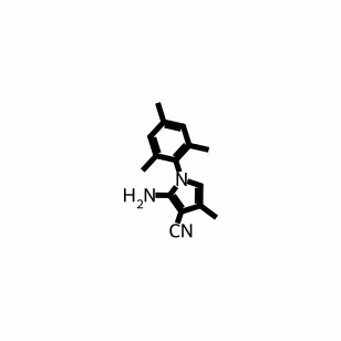 Cc1cc(C)c(-n2cc(C)c(C#N)c2N)c(C)c1